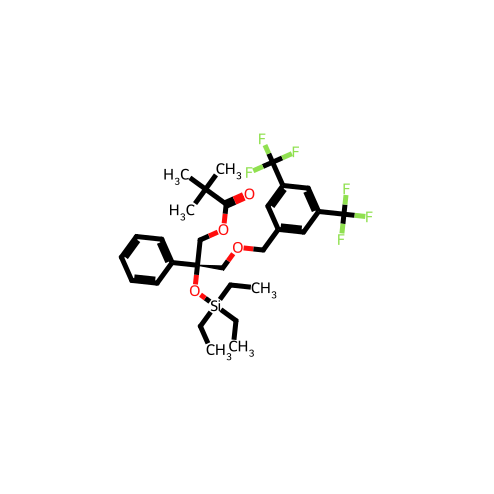 CC[Si](CC)(CC)O[C@@](COCc1cc(C(F)(F)F)cc(C(F)(F)F)c1)(COC(=O)C(C)(C)C)c1ccccc1